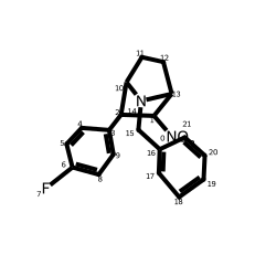 O=[N+]([O-])C1C(c2ccc(F)cc2)C2CCC1N2Cc1ccccc1